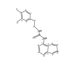 Cc1ccc(CCNC(=O)Nc2cccc3cnccc23)cc1C